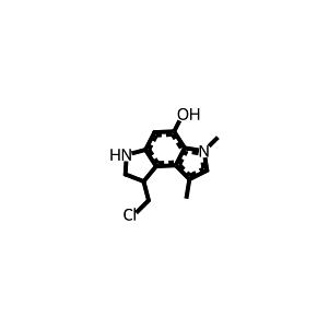 Cc1cn(C)c2c(O)cc3c(c12)C(CCl)CN3